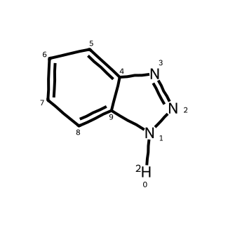 [2H]n1nnc2ccccc21